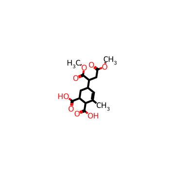 COC(=O)CC(C(=O)OC)C1C=C(C)C(C(=O)O)C(C(=O)O)C1